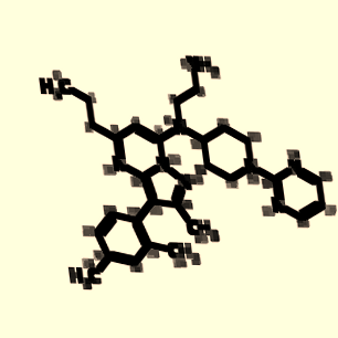 CCCc1cc(N(CCN)C2CCN(c3ncccn3)CC2)n2nc(C)c(-c3ccc(C)cc3C)c2n1